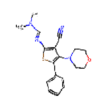 CN(C)C=Nc1sc(-c2ccccc2)c(N2CCOCC2)c1C#N